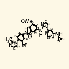 COc1cc(Nc2nccn2-c2cc(NC3CC3)ncn2)cc(C(=O)Nc2ccc(-n3ccnc3C)c(CF)c2)c1